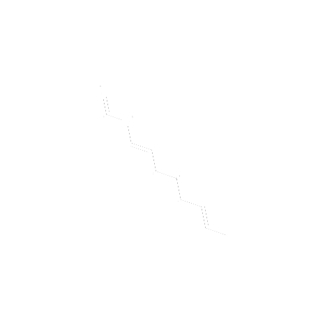 CC=CCCCC=COC=O